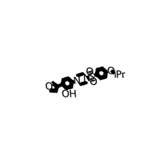 CC(C)Oc1ccc(S(=O)(=O)N2CCN(c3ccc(-c4ccoc4)c(O)c3)CC2)cc1